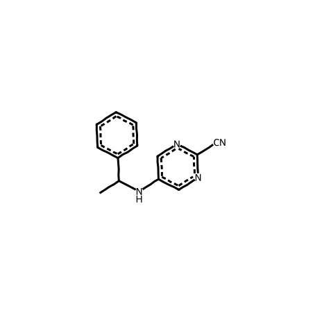 CC(Nc1cnc(C#N)nc1)c1ccccc1